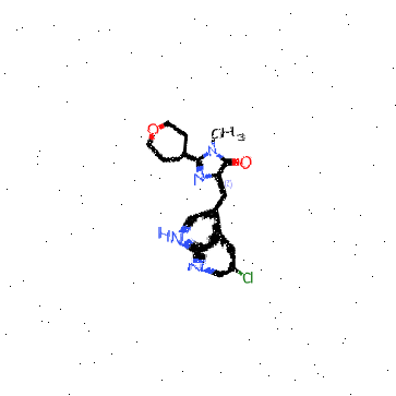 CN1C(=O)/C(=C/c2c[nH]c3ncc(Cl)cc23)N=C1C1CCOCC1